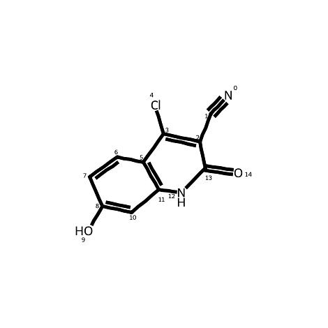 N#Cc1c(Cl)c2ccc(O)cc2[nH]c1=O